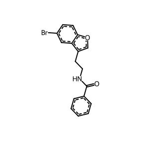 O=C(NCCc1coc2ccc(Br)cc12)c1ccccc1